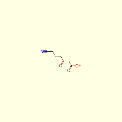 N#CCCCC(=O)CC(=O)O